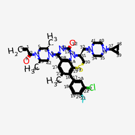 C=CC(=O)N1C[C@H](C)N(c2nc(=O)n3c4c(c(-c5ccc(F)c(Cl)c5)c(C)cc24)SC[C@@H]3CN2CCN(C3CC3)CC2)C[C@H]1C